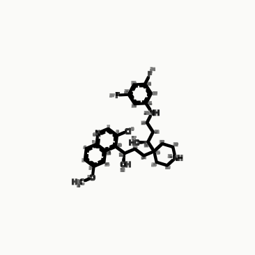 COc1ccc2ncc(Cl)c([C@H](O)CCC3([C@@H](O)CCNc4cc(F)cc(F)c4)CCNCC3)c2c1